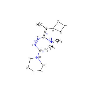 C\C=C(/N=N\C(NC)=C(/C)C1CCC1)N1CCCCC1